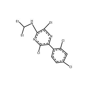 CCc1nc(-c2ccc(Cl)cc2Cl)c(Cl)nc1NC(CC)CC